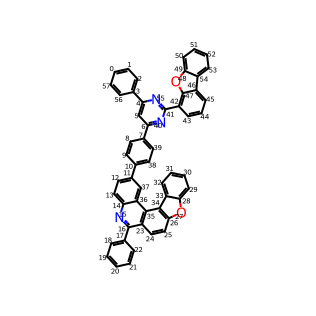 c1ccc(-c2cc(-c3ccc(-c4ccc5nc(-c6ccccc6)c6ccc7oc8ccccc8c7c6c5c4)cc3)nc(-c3cccc4c3oc3ccccc34)n2)cc1